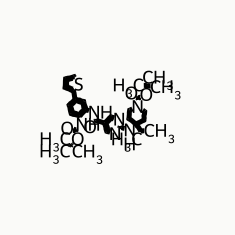 CC(C)C1(Nc2ncc(C(=O)Nc3cc(-c4cccs4)ccc3NC(=O)OC(C)(C)C)cn2)CCN(C(=O)OC(C)(C)C)CC1